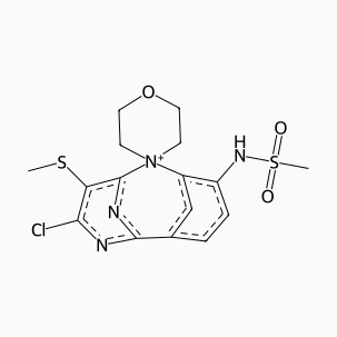 CSc1c(Cl)nc2nc1[N+]1(CCOCC1)c1cc-2ccc1NS(C)(=O)=O